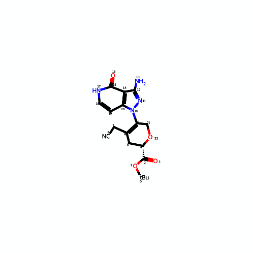 CC(C)(C)OC(=O)[C@@H]1CC(CC#N)=C(n2nc(N)c3c(=O)[nH]ccc32)CO1